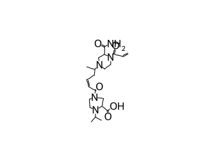 C=CC(=O)N1CCN(C(C)C/C=C\C(=O)N2CCN(C(C)C)C(C(=O)O)C2)CC1C(N)=O